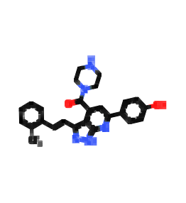 O=C(c1cc(-c2ccc(O)cc2)nc2[nH]nc(/C=C/c3ccccc3C(F)(F)F)c12)N1CCNCC1